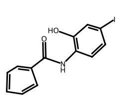 O=C(Nc1ccc(I)cc1O)c1ccccc1